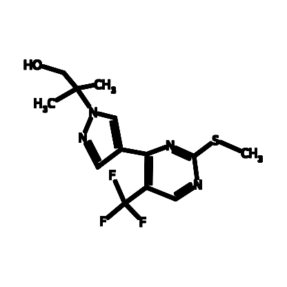 CSc1ncc(C(F)(F)F)c(-c2cnn(C(C)(C)CO)c2)n1